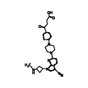 CNC1CC(n2cc(C#N)c3ccc(N4CCN(c5ccc(C(=O)CCC(=O)O)cc5)CC4)nc32)C1